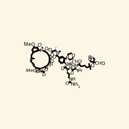 COc1cc2cc(c1Cl)N(C)C(=O)C[C@H](OC(=O)[C@H](C)N(C)C(=O)c1ccc(NC(=O)[C@H](CCCNC(N)=O)NC(=O)[C@@H](NC(C=O)CCCC(C)(C)OC(C=O)(CBr)CBr)C(C)C)c(N3CCOCC3)c1)[C@]1(C)O[C@H]1[C@H](C)[C@@H]1C[C@@](O)(NC(=O)O1)[C@H](OC)/C=C/C=C(\C)C2